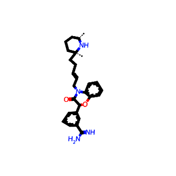 C[C@H]1CCC[C@](C)(CCC=CCN2C(=O)C(c3cccc(C(=N)N)c3)Oc3ccccc32)N1